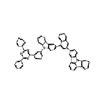 c1ccc(-c2nc(-c3ccccc3)nc(-c3cccc(-n4c5ccccc5c5cc(-c6cc(-c7ccc8c(c7)c7cccc9c%10ccccc%10n8c97)cc7ccccc67)ccc54)c3)n2)cc1